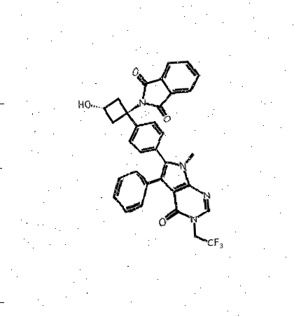 Cn1c(-c2ccc([C@]3(N4C(=O)c5ccccc5C4=O)C[C@H](O)C3)cc2)c(-c2ccccc2)c2c(=O)n(CC(F)(F)F)cnc21